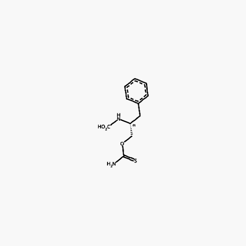 NC(=S)OC[C@@H](Cc1ccccc1)NC(=O)O